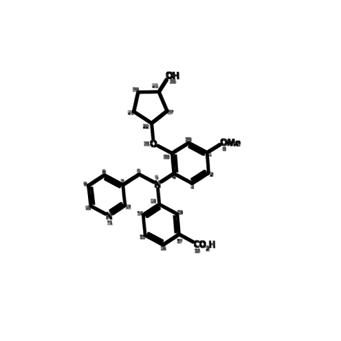 COc1ccc(N(Cc2cccnc2)c2cccc(C(=O)O)c2)c(OC2CCC(O)C2)c1